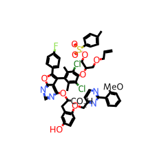 C=CCOCC(COS(=O)(=O)c1ccc(C)cc1)Oc1c(Cl)c(C)c(-c2c(-c3ccc(F)cc3)oc3ncnc(OC(Cc4cc(O)ccc4OCc4ccnc(-c5ccccc5OC)n4)C(=O)O)c23)c(C)c1Cl